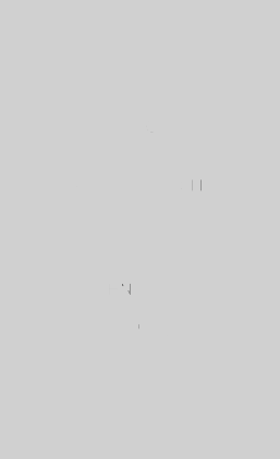 CNCc1cccc(Cl)c1C